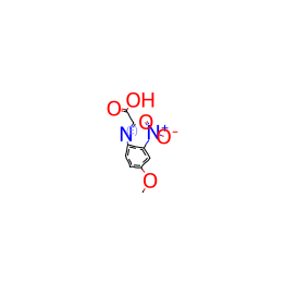 COc1ccc(/N=C/C(=O)O)c([N+](=O)[O-])c1